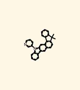 CC1(C)c2ccccc2-c2c1ccc1cc3c4ccccc4n(-c4cccnc4)c3cc21